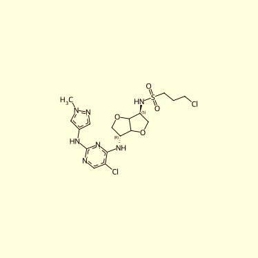 Cn1cc(Nc2ncc(Cl)c(N[C@@H]3COC4C3OC[C@@H]4NS(=O)(=O)CCCCl)n2)cn1